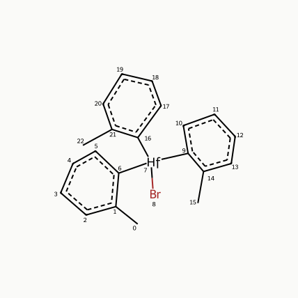 Cc1cccc[c]1[Hf]([Br])([c]1ccccc1C)[c]1ccccc1C